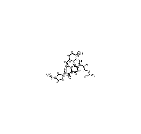 C[C@@H](COC(F)F)Nc1ncc(C(=O)N[C@H]2CCN(CC#N)C2)c(/N=C\C2CCC(O)CC2)n1